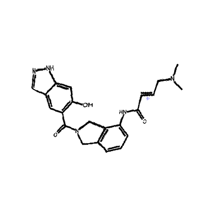 CN(C)C/C=C/C(=O)Nc1cccc2c1CN(C(=O)c1cc3cn[nH]c3cc1O)C2